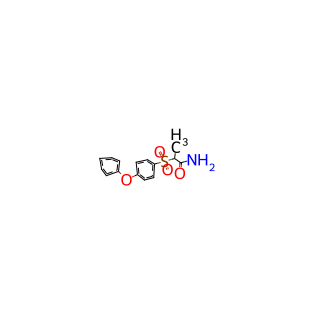 CC(C(N)=O)S(=O)(=O)c1ccc(Oc2ccccc2)cc1